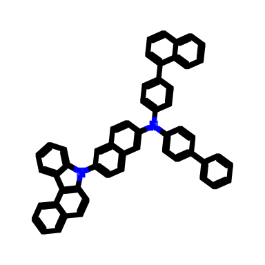 c1ccc(-c2ccc(N(c3ccc(-c4cccc5ccccc45)cc3)c3ccc4cc(-n5c6ccccc6c6c7ccccc7ccc65)ccc4c3)cc2)cc1